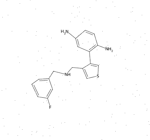 Nc1ccc(N)c(-c2cscc2CNCc2cccc(F)c2)c1